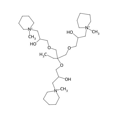 CCC(COCC(O)C[N+]1(C)CCCCC1)(COCC(O)C[N+]1(C)CCCCC1)OCC(O)C[N+]1(C)CCCCC1